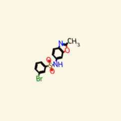 Cc1nc2ccc(NS(=O)(=O)c3cccc(Br)c3)cc2o1